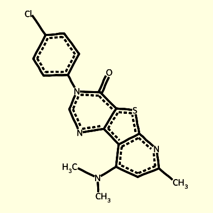 Cc1cc(N(C)C)c2c(n1)sc1c(=O)n(-c3ccc(Cl)cc3)cnc12